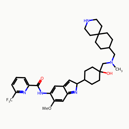 COc1cc2c(cc1NC(=O)c1cccc(C(F)(F)F)n1)=CC(C1CCC(O)(CN(C)CC3CCC4(CCNCC4)CC3)CC1)N=2